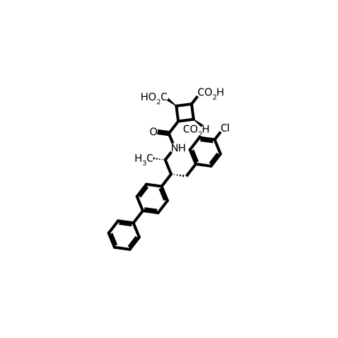 C[C@H](NC(=O)C1[C@H](C(=O)O)C(C(=O)O)[C@@H]1C(=O)O)[C@H](Cc1ccc(Cl)cc1)c1ccc(-c2ccccc2)cc1